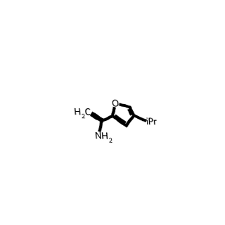 C=C(N)c1cc(C(C)C)co1